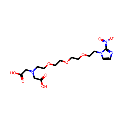 O=C(O)CN(CCOCCOCCOCCn1ccnc1[N+](=O)[O-])CC(=O)O